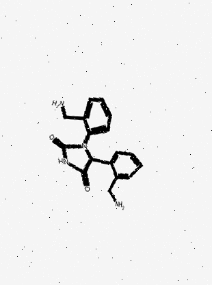 NCc1ccccc1C1C(=O)NC(=O)N1c1ccccc1CN